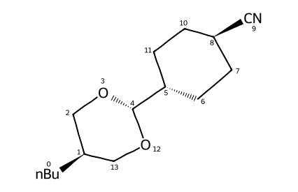 CCCC[C@H]1CO[C@H]([C@H]2CC[C@H](C#N)CC2)OC1